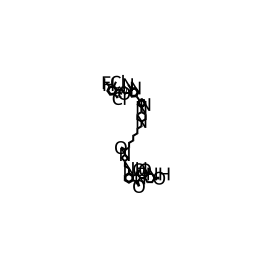 C[C@H](Oc1cc(-c2cnn(C3CCN(CCCCCCCC(=O)N4CC(CNc5cccc6c5C(=O)N(C5CCC(=O)NC5=O)C6=O)C4)CC3)c2)cnc1N)c1c(Cl)ccc(F)c1Cl